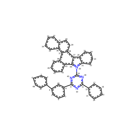 c1ccc(-c2cccc(-c3nc(-c4ccccc4)nc(-n4c5ccccc5c5c6ccc7ccccc7c6c6ccccc6c54)n3)c2)cc1